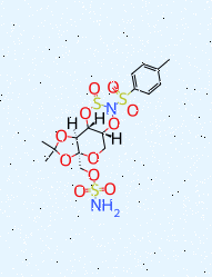 Cc1ccc(S(=O)(=O)N2O[C@@H]3CO[C@@]4(COS(N)(=O)=O)OC(C)(C)O[C@H]4[C@@H]3OS2=O)cc1